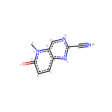 Cn1c(=O)ccc2nc(C#N)ncc21